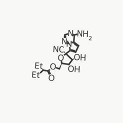 CCC(CC)C(=O)OC[C@H]1O[C@@](C#N)(c2ccc3c(N)ncnn23)[C@H](O)[C@@H]1O